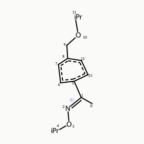 C/C(=N\OC(C)C)c1ccc(COC(C)C)cc1